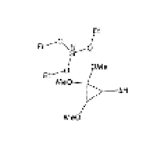 CCO[SiH](OCC)OCC.COC1C(S)C1(OC)OC